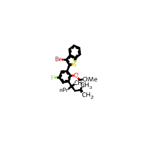 C=C(C)CC(C)(CCC)c1cc(F)cc(-c2sc3ccccc3c2Br)c1OCOC